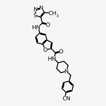 Cc1nnsc1C(=O)Nc1ccc2oc(C(=O)NC3CCN(Cc4ccc(C#N)cc4)CC3)cc2c1